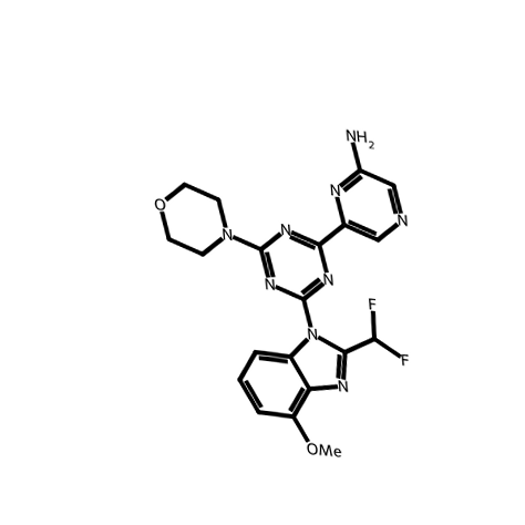 COc1cccc2c1nc(C(F)F)n2-c1nc(-c2cncc(N)n2)nc(N2CCOCC2)n1